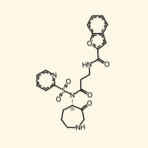 O=C(NCCC(=O)N([C@H]1CCCNCC1=O)S(=O)(=O)c1ccccn1)c1cc2ccccc2o1